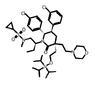 CC[C@@H](CN(C)S(=O)(=O)C1CC1)N1C(=O)[C@](CCO[Si](C(C)C)(C(C)C)C(C)C)(CCN2CCOCC2)C[C@H](c2cccc(Cl)c2)[C@H]1c1ccc(Cl)cc1